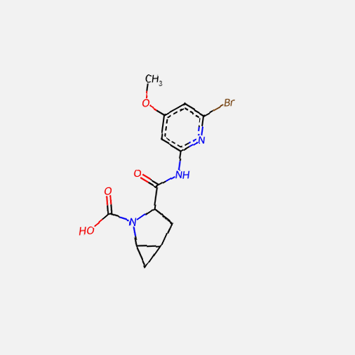 COc1cc(Br)nc(NC(=O)C2CC3CC3N2C(=O)O)c1